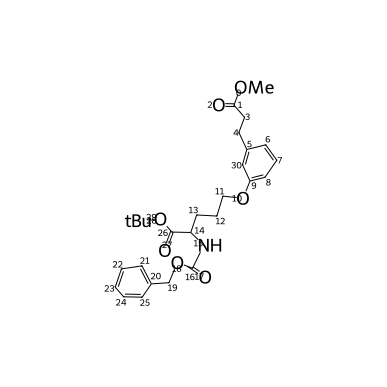 COC(=O)CCc1cccc(OCCCC(NC(=O)OCc2ccccc2)C(=O)OC(C)(C)C)c1